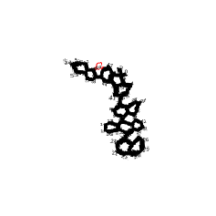 CC1(C)c2ccc(-c3ccc(-c4c5ccccc5c(-c5cccc6ccccc56)c5ccccc45)c4ccccc34)cc2-c2cc3c(cc21)oc1c2ccccc2ccc31